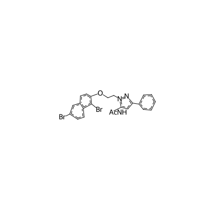 CC(=O)Nc1cc(-c2ccccc2)nn1CCOc1ccc2cc(Br)ccc2c1Br